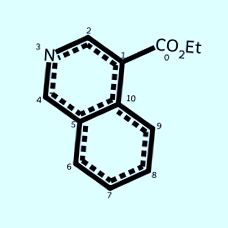 CCOC(=O)c1cncc2ccccc12